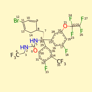 O=C(NCC(F)(F)F)N[C@@](CC1C=CC(Br)=CC1)(c1cc(F)cc(OC(F)(F)C(F)F)c1)c1ccc(F)c(C(F)(F)F)c1